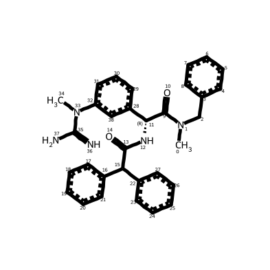 CN(Cc1ccccc1)C(=O)[C@H](NC(=O)C(c1ccccc1)c1ccccc1)c1cccc(N(C)C(=N)N)c1